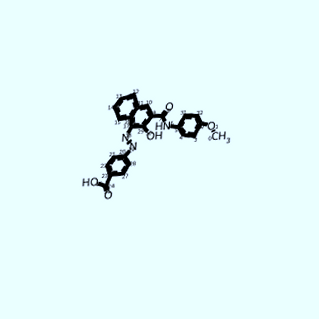 COc1ccc(NC(=O)c2cc3ccccc3c(N=Nc3ccc(C(=O)O)cc3)c2O)cc1